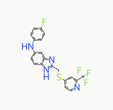 Fc1ccc(Nc2ccc3[nH]c(CSc4ccnc(C(F)(F)F)c4)nc3c2)cc1